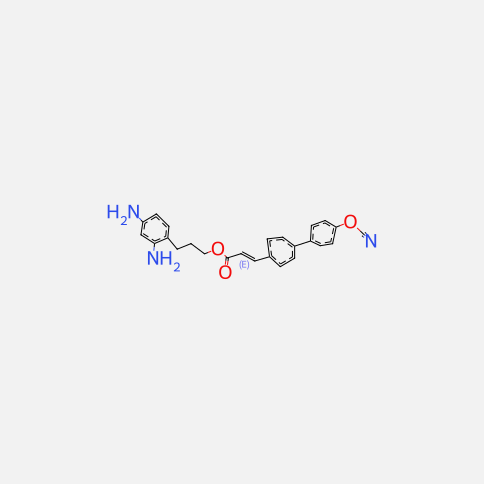 N#COc1ccc(-c2ccc(/C=C/C(=O)OCCCc3ccc(N)cc3N)cc2)cc1